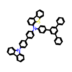 c1ccc(-c2cc(-c3ccccc3)cc(-c3ccc(N(c4ccc(-c5ccc(-n6c7ccccc7c7ccccc76)cc5)cc4)c4cccc5c4sc4ccccc45)cc3)c2)cc1